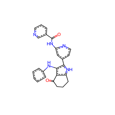 O=C(Nc1cc(-c2[nH]c3c(c2Nc2ccccc2)C(=O)CCC3)ccn1)c1cccnc1